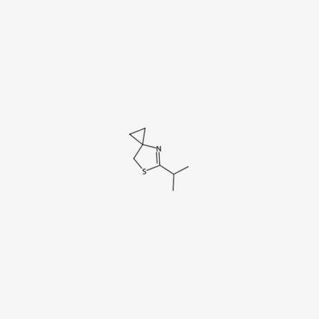 CC(C)C1=NC2(CC2)CS1